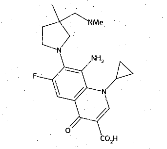 CNCC1(C)CCN(c2c(F)cc3c(=O)c(C(=O)O)cn(C4CC4)c3c2N)C1